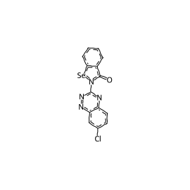 O=c1c2ccccc2[se]n1-c1nnc2cc(Cl)ccc2n1